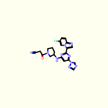 N#CCC(=O)N1CCCC(Nc2cc(-n3cncn3)nc(-c3cnc4ccc(F)cn34)n2)C1